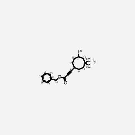 CC1(Cl)CCC(C#CC(=O)OCc2ccccc2)CCC(I)C1